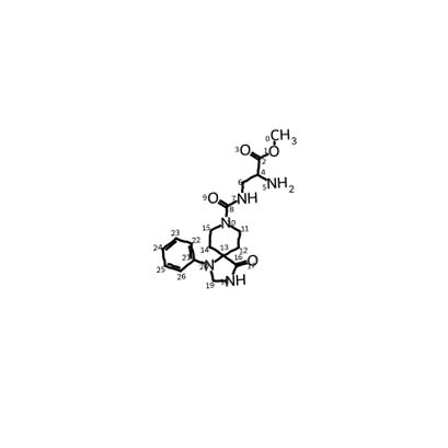 COC(=O)C(N)CNC(=O)N1CCC2(CC1)C(=O)NCN2c1ccccc1